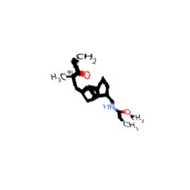 C=CC(=O)[C@H](C)CC1CC2CC1C1CCC(CNC(CC)OC)C21